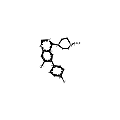 O=C(O)N1CCN(c2ncnc3cc(Cl)c(-c4ccc(Cl)cc4)cc23)CC1